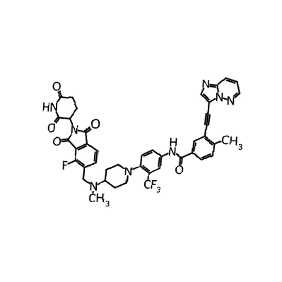 Cc1ccc(C(=O)Nc2ccc(N3CCC(N(C)Cc4ccc5c(c4F)C(=O)N(C4CCC(=O)NC4=O)C5=O)CC3)c(C(F)(F)F)c2)cc1C#Cc1cnc2cccnn12